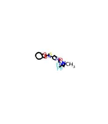 Cc1cc(C(F)(F)F)n(CC(=O)N2CCC(c3nc(C4OCC5CCCCCCCCCC5CO4)cs3)CC2)n1